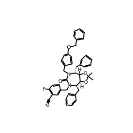 CC1(C)O[C@@H]2[C@@H](O1)[C@@H](Cc1ccccc1)N(Cc1ccc(F)c(C#N)c1)C(=O)N(Cc1ccc(OCc3ccccc3)cc1)[C@@H]2Cc1ccccc1